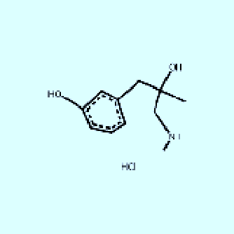 CNCC(C)(O)Cc1cccc(O)c1.Cl